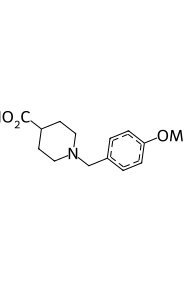 COc1ccc(CN2CCC(C(=O)O)CC2)cc1